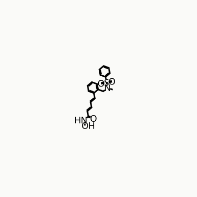 CN(Cc1ccccc1C=CC=CC(=O)NO)S(=O)(=O)c1ccccc1